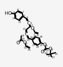 C=COC(=C=Cc1ccc(O)cc1)C=C=Cc1ccc(OC(=O)OC(C)(C)C)cc1.C=COC(C)=O